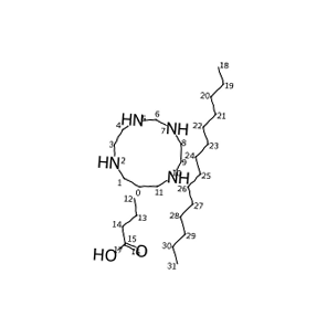 C1CNCCNCNCCNC1.CCCC(=O)O.CCCCCCCCCCCCCC